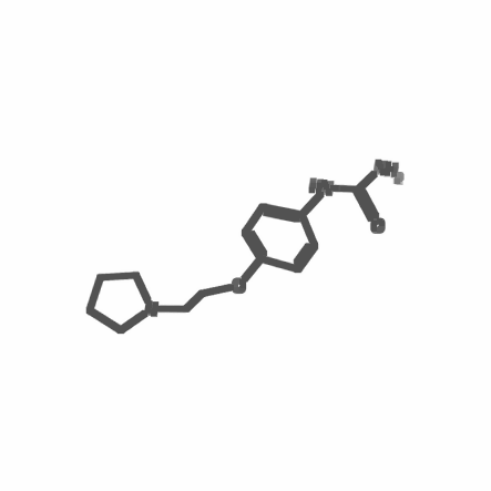 NC(=O)Nc1ccc(OCCN2CCCC2)cc1